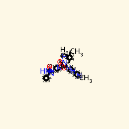 CCc1ccc(C[C@@H](NC(=O)ON2CCC(n3nc(-c4ccccc4)[nH]c3=O)CC2)C(=O)N2CCN(C3CCN(C)CC3)CC2)cc1CC